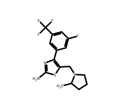 CC1CCCN1Cc1sc(N)nc1-c1cc(F)cc(C(F)(F)F)c1